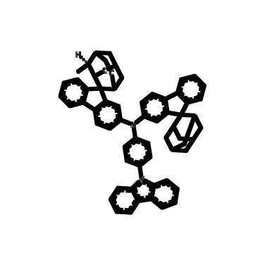 C[C@H]1C2CCC3CC(C2)CC1C31c2ccccc2-c2ccc(N(c3ccc(-n4c5ccccc5c5ccccc54)cc3)c3ccc4c(c3)C3(c5ccccc5-4)C4CC5CC(C4)CC3C5)cc21